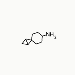 NC1CCC2(CC1)C1CC12